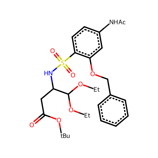 CCOC(OCC)C(CC(=O)OC(C)(C)C)NS(=O)(=O)c1ccc(NC(C)=O)cc1OCc1ccccc1